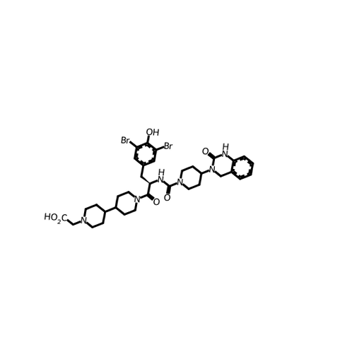 O=C(O)CN1CCC(C2CCN(C(=O)[C@@H](Cc3cc(Br)c(O)c(Br)c3)NC(=O)N3CCC(N4Cc5ccccc5NC4=O)CC3)CC2)CC1